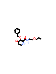 C=CCOCCNC(=O)c1[nH]ccc(=O)c1OCc1ccccc1